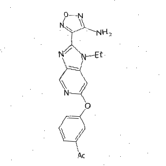 CCn1c(-c2nonc2N)nc2cnc(Oc3cccc(C(C)=O)c3)cc21